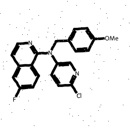 COc1ccc(CN(c2ccc(Cl)nc2)c2nccc3cc(F)ccc23)cc1